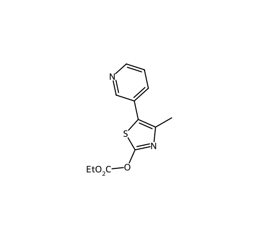 CCOC(=O)Oc1nc(C)c(-c2cccnc2)s1